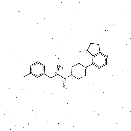 Cc1cccc(C[C@@H](N)C(=O)N2CCN(c3ncnc4c3[C@H](C)CC4)CC2)c1